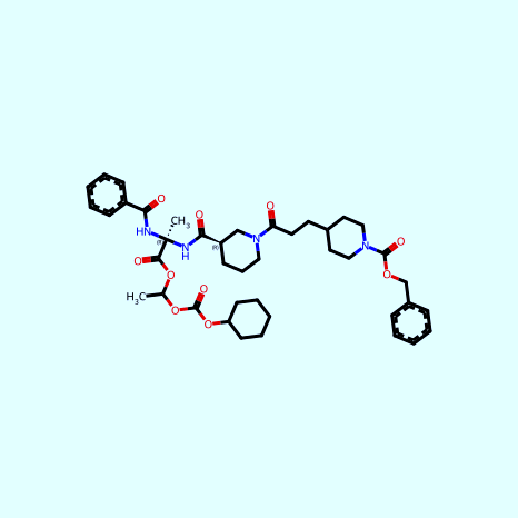 CC(OC(=O)OC1CCCCC1)OC(=O)[C@@](C)(NC(=O)c1ccccc1)NC(=O)[C@@H]1CCCN(C(=O)CCC2CCN(C(=O)OCc3ccccc3)CC2)C1